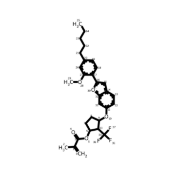 C=C(C)C(=O)OC1CCC(Oc2ccc3cc(-c4ccc(CCCCC)cc4OC)oc3c2)C1C(F)(F)F